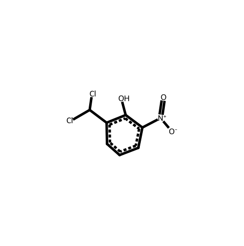 O=[N+]([O-])c1cccc(C(Cl)Cl)c1O